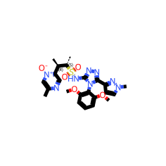 COc1cccc(OC)c1-n1c(NS(=O)(=O)[C@@H](C)[C@H](C)c2cnc(C)c[n+]2[O-])nnc1-c1ccn(C)n1